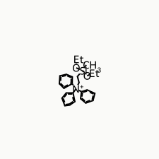 CCO[Si](C)(CC[N+](c1ccccc1)(c1ccccc1)c1ccccc1)OCC